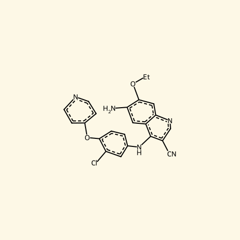 CCOc1cc2ncc(C#N)c(Nc3ccc(Oc4ccncc4)c(Cl)c3)c2cc1N